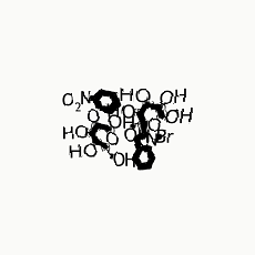 O=[N+]([O-])c1ccccc1O[C@@H]1[C@@H](O)[C@@H](O)[C@@H](CO)O[C@H]1O.OC[C@@]1(c2cc3ccccc3n2Br)O[C@@H](O)[C@H](O)[C@@H](O)[C@H]1O